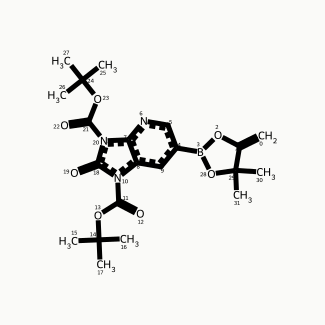 C=C1OB(c2cnc3c(c2)n(C(=O)OC(C)(C)C)c(=O)n3C(=O)OC(C)(C)C)OC1(C)C